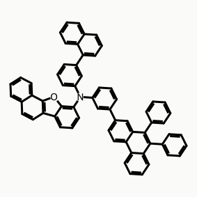 c1ccc(-c2c(-c3ccccc3)c3cc(-c4cccc(N(c5cccc(-c6cccc7ccccc67)c5)c5cccc6c5oc5c7ccccc7ccc65)c4)ccc3c3ccccc23)cc1